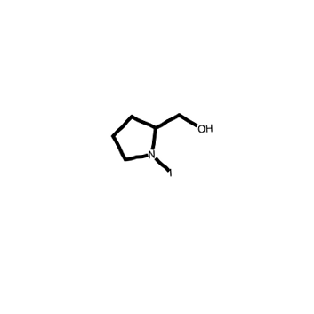 OCC1CCCN1I